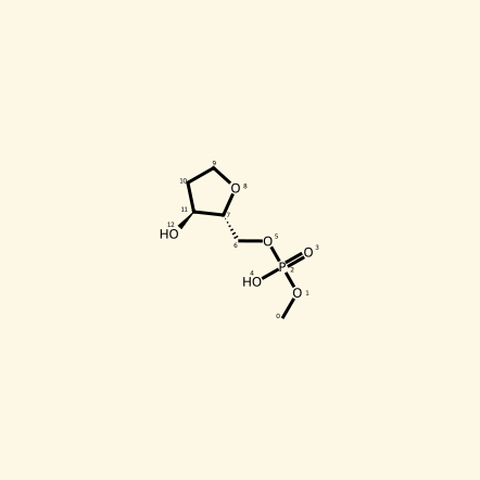 COP(=O)(O)OC[C@H]1OCC[C@@H]1O